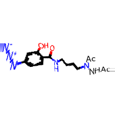 CC(=O)NN(CCCCNC(=O)c1ccc(N=[N+]=[N-])cc1O)C(C)=O